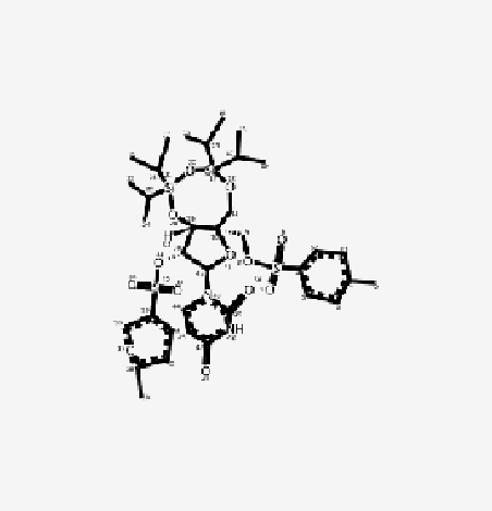 Cc1ccc(S(=O)(=O)OC[C@@]23CO[Si](C(C)C)(C(C)C)O[Si](C(C)C)(C(C)C)O[C@H]2[C@@H](OS(=O)(=O)c2ccc(C)cc2)[C@H](n2ccc(=O)[nH]c2=O)O3)cc1